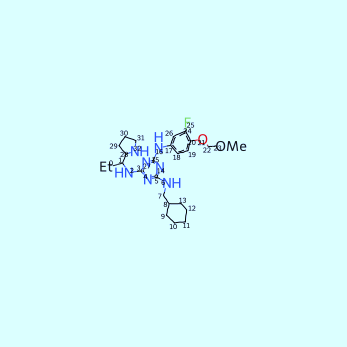 CCC(Nc1nc(NCC2CCCCC2)nc(Nc2ccc(OCOC)c(F)c2)n1)C1CCCN1